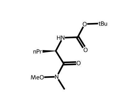 CCC[C@@H](NC(=O)OC(C)(C)C)C(=O)N(C)OC